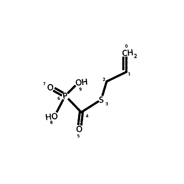 C=CCSC(=O)P(=O)(O)O